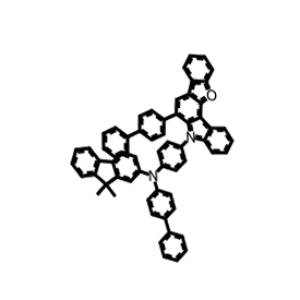 CC1(C)c2ccccc2-c2ccc(N(c3ccc(-c4ccccc4)cc3)c3ccc(-n4c5ccccc5c5c6oc7ccccc7c6cc(-c6ccc(-c7ccccc7)cc6)c54)cc3)cc21